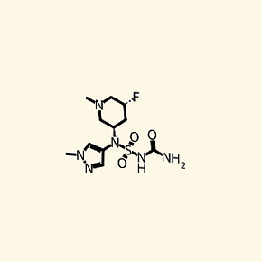 CN1C[C@H](F)C[C@@H](N(c2cnn(C)c2)S(=O)(=O)NC(N)=O)C1